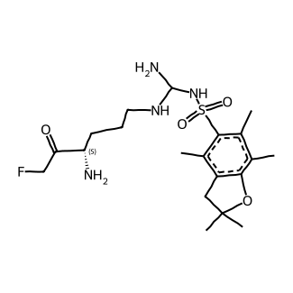 Cc1c(C)c(S(=O)(=O)NC(N)NCCC[C@H](N)C(=O)CF)c(C)c2c1OC(C)(C)C2